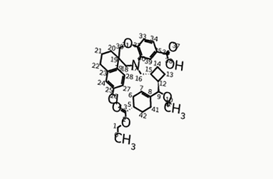 CCOC(=O)[C@@H]1CC=C(C(OC)[C@@H]2CC[C@H]2CN2CC3(CCCc4cc(Cl)ccc43)COc3ccc(C(=O)O)cc32)CC1